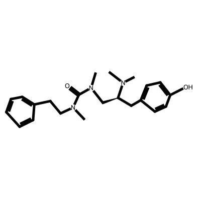 CN(CCc1ccccc1)C(=O)N(C)C[C@H](Cc1ccc(O)cc1)N(C)C